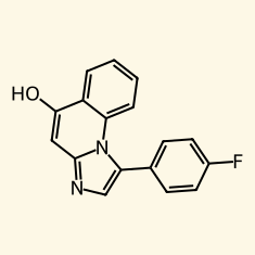 Oc1cc2ncc(-c3ccc(F)cc3)n2c2ccccc12